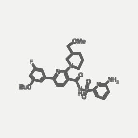 COCC1CCCN(c2nc(-c3cc(F)cc(OCC(C)C)c3)ccc2C(=O)NS(=O)(=O)c2cccc(N)n2)C1